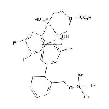 Cc1cc(-c2ccccc2CO[Si](C(C)C)(C(C)C)C(C)C)ccc1[C@H]1CN(C(=O)O)CC[C@]1(O)c1cc(F)c(F)cc1CO